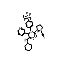 N#CN1CCC[C@@H]1C(=O)N(c1ccc(S(F)(F)(F)(F)F)cc1)C(C(=O)NC1CCCCC1)c1cccnc1